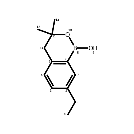 CCc1ccc2c(c1)B(O)OC(C)(C)C2